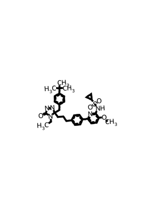 CCN1C(=O)N=NC1(CCCc1ccc(-c2ccc(OC)c(NS(=O)(=O)C3CC3)n2)cc1)Cc1ccc(C(C)(C)C)cc1